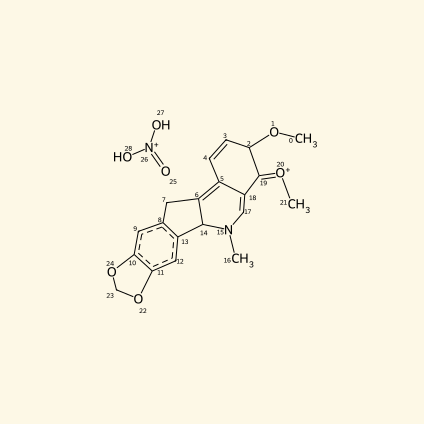 COC1C=CC2=C3Cc4cc5c(cc4C3N(C)C=C2C1=[O+]C)OCO5.O=[N+](O)O